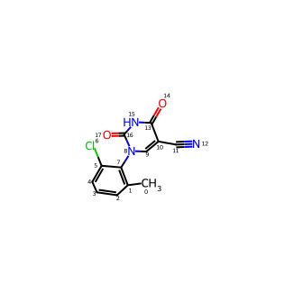 Cc1cccc(Cl)c1-n1cc(C#N)c(=O)[nH]c1=O